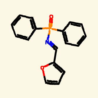 O=P(N=Cc1ccco1)(c1ccccc1)c1ccccc1